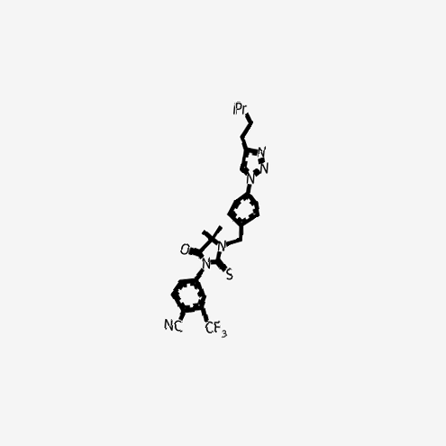 CC(C)CCc1cn(-c2ccc(CN3C(=S)N(c4ccc(C#N)c(C(F)(F)F)c4)C(=O)C3(C)C)cc2)nn1